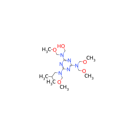 COCN(CO)c1nc(N(COC)COC)nc(N(COC)CC(C)C)n1